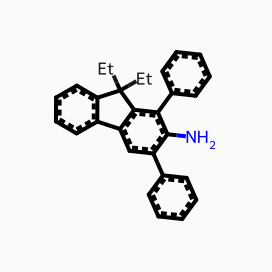 CCC1(CC)c2ccccc2-c2cc(-c3ccccc3)c(N)c(-c3ccccc3)c21